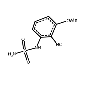 [C-]#[N+]c1c(NS(N)(=O)=O)cccc1OC